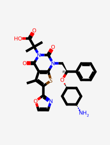 Cc1c(-c2ncco2)sc2c1c(=O)n(C(C)(C)C(=O)O)c(=O)n2C[C@H](O[C@H]1CC[C@@H](N)CC1)c1ccccc1